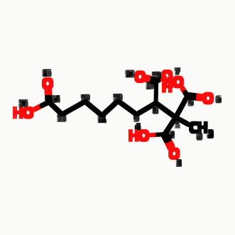 CC(C(=O)O)(C(=O)O)C(CCCCCC(=O)O)C(=O)O